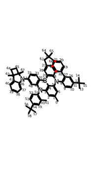 Cc1cc2c3c(c1)N(c1ccc(C(C)(C)C)cc1-c1ccccc1)c1cc4c(cc1B3c1ccc(N3c5ccccc5C5(C)CCC35C)cc1N2c1ccc(C(C)(C)C)cc1C)CC(C)(C)C4